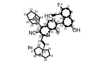 C#Cc1c(F)ccc2cc(O)cc(-c3ncc4c(N5CC6CCC(C5)N6)c(C#N)c(/C=C/[C@@]56CCCN5C[C@H](F)C6)nc4c3F)c12